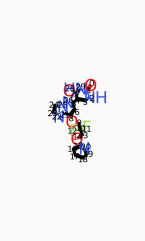 O=c1[nH]cc(-c2cc(OCC(F)(F)COc3ccccn3)c3nccn3n2)c(=O)[nH]1